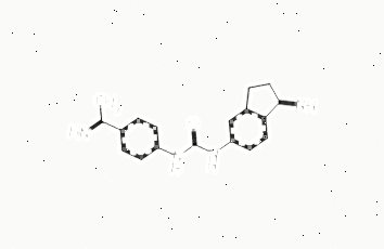 CC(=N)c1ccc(NC(=O)Nc2ccc3c(c2)CCC3=N)cc1